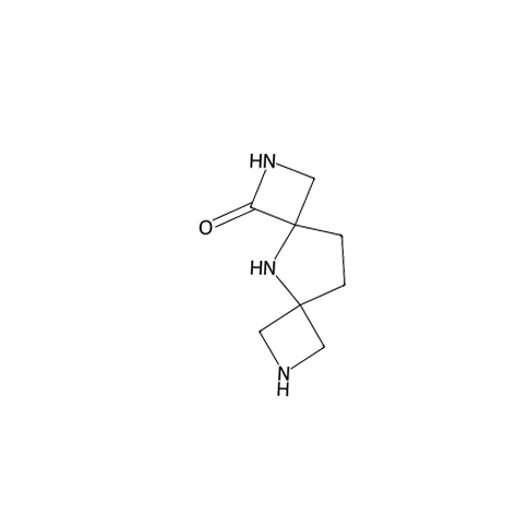 O=C1NCC12CCC1(CNC1)N2